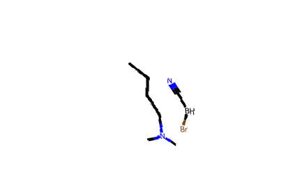 CCCCN(C)C.N#CBBr